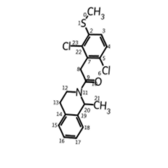 CSc1ccc(Cl)c(CC(=O)N2CCc3ccccc3C2C)c1Cl